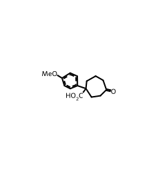 COc1ccc(C2(C(=O)O)CCCC(=O)CC2)cc1